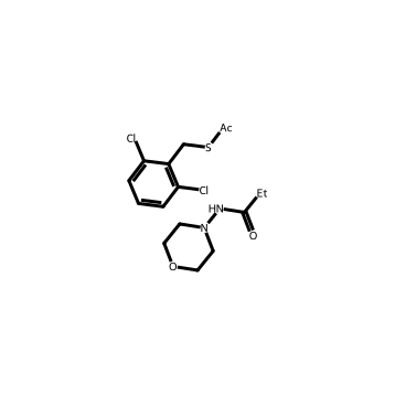 CC(=O)SCc1c(Cl)cccc1Cl.CCC(=O)NN1CCOCC1